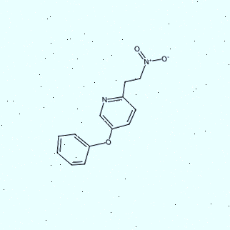 O=[N+]([O-])CCc1ccc(Oc2ccccc2)cn1